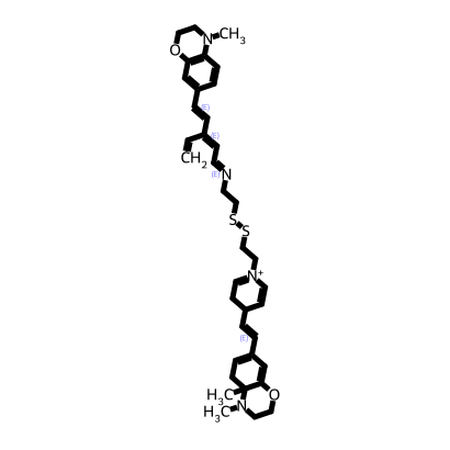 C=CC(/C=C/c1ccc2c(c1)OCCN2C)=C\C=N\CCSSCC[N+]1=CCC(/C=C/C2=CCC3(C)C(=C2)OCCN3C)C=C1